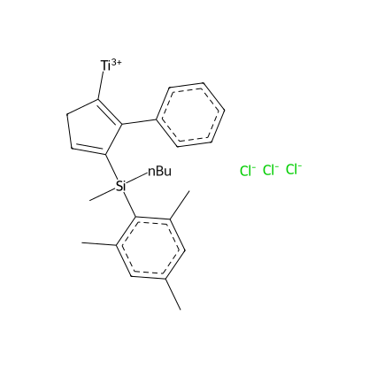 CCCC[Si](C)(C1=CC[C]([Ti+3])=C1c1ccccc1)c1c(C)cc(C)cc1C.[Cl-].[Cl-].[Cl-]